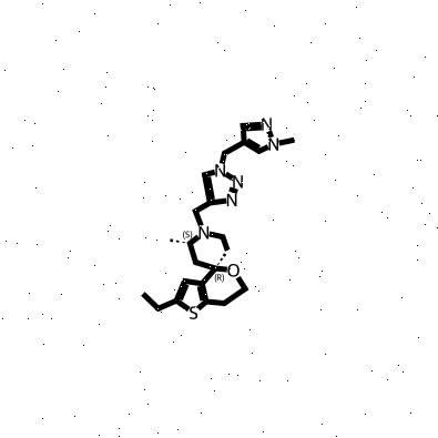 CCc1cc2c(s1)CCO[C@@]21CCN(Cc2cn(Cc3cnn(C)c3)nn2)[C@@H](C)C1